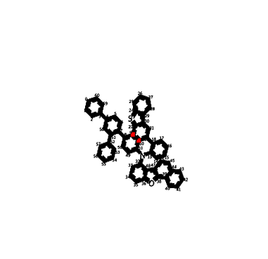 c1ccc(-c2ccc(-c3ccc(N(c4ccccc4-c4ccc5sc6ccccc6c5c4)c4cccc5oc6c7ccccc7ccc6c45)cc3)c(-c3ccccc3)c2)cc1